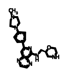 CN1CCN(c2ccc(-c3cc4nccnc4c(NC[C@@H]4CNCCO4)n3)cc2)CC1